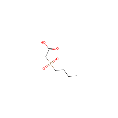 CCCCS(=O)(=O)CC(=O)O